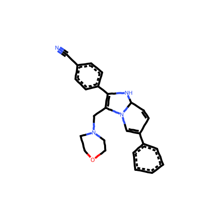 N#Cc1ccc(C2=C(CN3CCOCC3)N3C=C(c4ccccc4)C=CC3N2)cc1